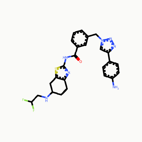 Nc1ccc(-c2cn(Cc3cccc(C(=O)Nc4nc5c(s4)CC(NCC(F)F)CC5)c3)nn2)cc1